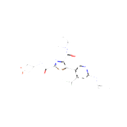 CC[C@H](Nc1cc(C(F)F)c(-c2sc(C(=O)NC3CS(=O)(=O)C3)nc2C(=O)N2CCC[C@@H]2C)cn1)C(F)(F)F